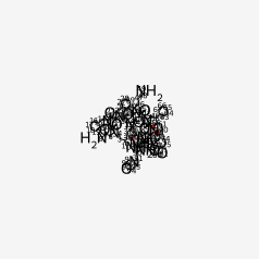 NCCCCN(CC(N)=O)C(=O)CN(Cc1ccccc1)C(=O)CN(Cc1ccccc1)C(=O)CN(CCCCN)C(=O)CN(CCCCN)C(=O)CN(CC(c1ccccc1)c1ccccc1)C(=O)CN(Cc1ccc2c(c1)OCO2)C(=O)CN(C(=O)CNCCN1CCOCC1)C1CC1